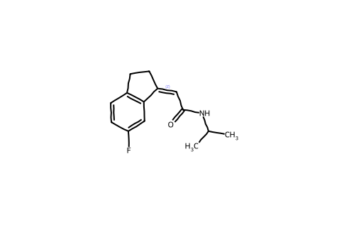 CC(C)NC(=O)/C=C1/CCc2ccc(F)cc21